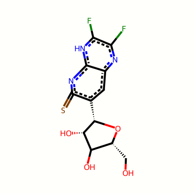 OC[C@H]1O[C@@H](c2cc3nc(F)c(F)[nH]c-3nc2=S)[C@@H](O)C1O